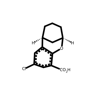 O=C(O)c1cc(Cl)cc2c1O[C@@H]1CCC[C@H]2C1